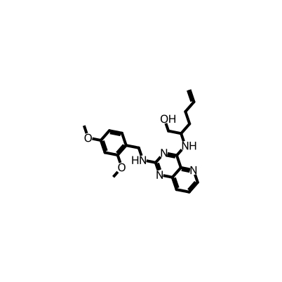 C=CCCC(CO)Nc1nc(NCc2ccc(OC)cc2OC)nc2cccnc12